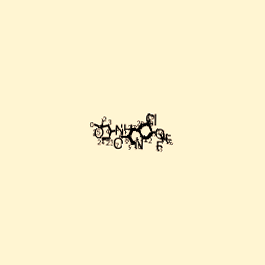 CC1(C)CC(NC(=O)c2cnc3cc(OC(F)F)c(Cl)cc3c2)CCO1